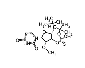 CO[C@H]1C(OP(O)(=S)OC(C)(C)C)[C@@H](CC(C)(C)C)O[C@H]1n1ccc(=O)[nH]c1=O